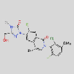 CCn1c(CO)nn(-c2cc3c(C(C)C)cn(-c4c(F)ccc(OC)c4Cl)c(=O)c3cc2F)c1=O